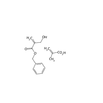 C=C(C)C(=O)O.C=C(CO)C(=O)OCc1ccccc1